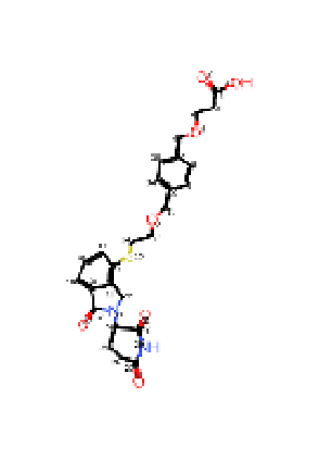 O=C(O)CCOCc1ccc(COCCSc2cccc3c2CN(C2CCC(=O)NC2=O)C3=O)cc1